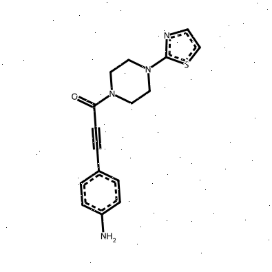 Nc1ccc(C#CC(=O)N2CCN(c3nccs3)CC2)cc1